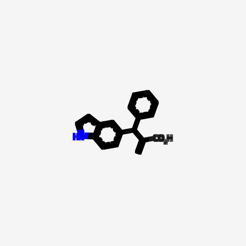 C=C(C(=O)O)C(c1ccccc1)c1ccc2[nH]ccc2c1